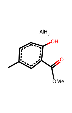 COC(=O)c1cc(C)ccc1O.[AlH3]